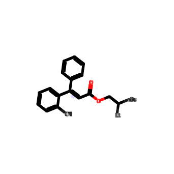 CCCCC(CC)COC(=O)/C=C(\c1ccccc1)c1ccccc1C#N